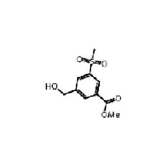 COC(=O)c1cc(CO)cc(S(C)(=O)=O)c1